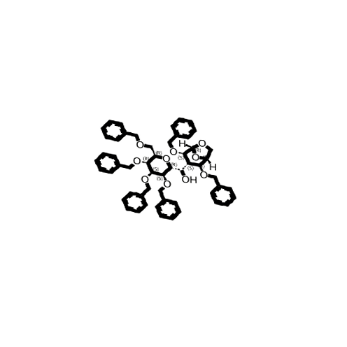 OC([C@@H]1[C@H](OCc2ccccc2)[C@@H]2OC[C@@H](O2)[C@H]1OCc1ccccc1)[C@H]1O[C@H](COCc2ccccc2)[C@@H](OCc2ccccc2)[C@H](OCc2ccccc2)[C@@H]1OCc1ccccc1